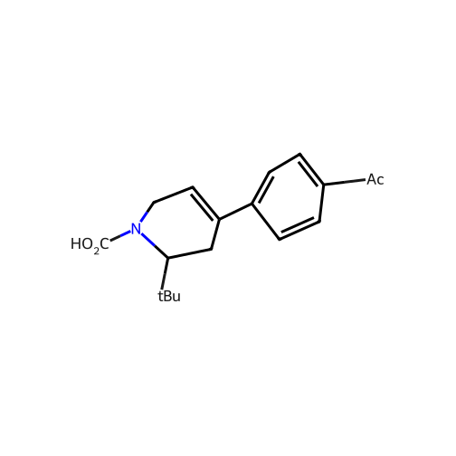 CC(=O)c1ccc(C2=CCN(C(=O)O)C(C(C)(C)C)C2)cc1